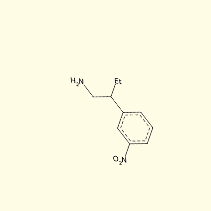 CCC(CN)c1cccc([N+](=O)[O-])c1